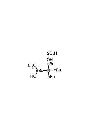 CCCC[N+](CCCC)(CCCC)CCCC.O=S(=O)(O)O.OCC(Cl)(Cl)Cl